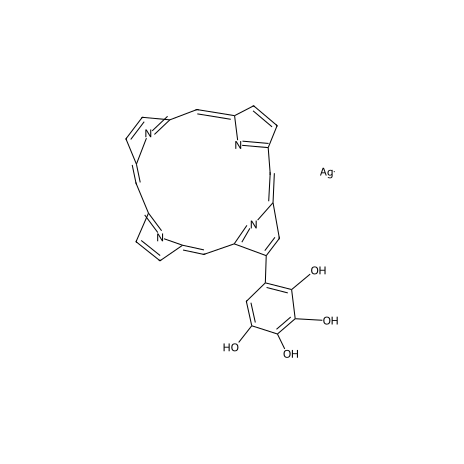 Oc1cc(C2=CC3=CC4=NC(=CC5=NC(=CC6=NC(=CC2=N3)C=C6)C=C5)C=C4)c(O)c(O)c1O.[Ag]